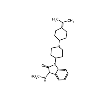 CC(C)=C1CCC(N2CCC(N3C(=O)C(NC(=O)O)c4ccccc43)CC2)CC1